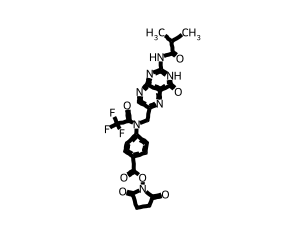 CC(C)C(=O)Nc1nc2ncc(CN(C(=O)C(F)(F)F)c3ccc(C(=O)ON4C(=O)CCC4=O)cc3)nc2c(=O)[nH]1